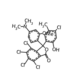 COc1cc(N(C)C)ccc1C1(c2cc(C)c(Cl)cc2O)OC(=O)c2c(Cl)c(Cl)c(Cl)c(Cl)c21